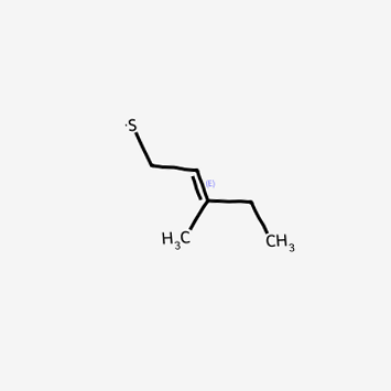 CC/C(C)=C/C[S]